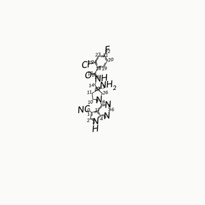 N#Cc1c[nH]c2ncnc(N3CC[C@](N)(CNC(=O)c4ccc(F)cc4Cl)C3)c12